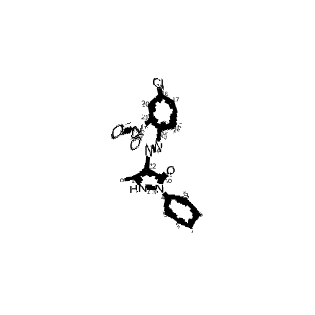 Cc1[nH]n(-c2ccccc2)c(=O)c1N=Nc1ccc(Cl)cc1[N+](=O)[O-]